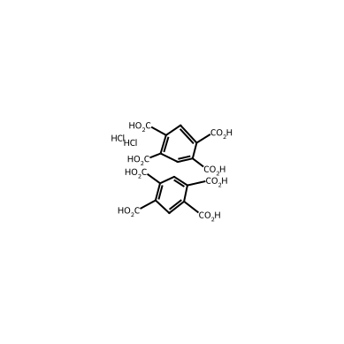 Cl.Cl.O=C(O)c1cc(C(=O)O)c(C(=O)O)cc1C(=O)O.O=C(O)c1cc(C(=O)O)c(C(=O)O)cc1C(=O)O